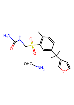 Cc1ccc(C(C)(C)c2ccoc2)cc1S(=O)(=O)CNC(N)=O.NC=O